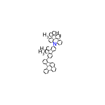 CC1(C)c2cc(-c3cccc4c3-c3ccc5cccc6c5c3C4c3ccccc3-6)ccc2-c2ccc(N(c3ccccc3)c3cccc4c3-c3ccccc3C4(C)C)cc21